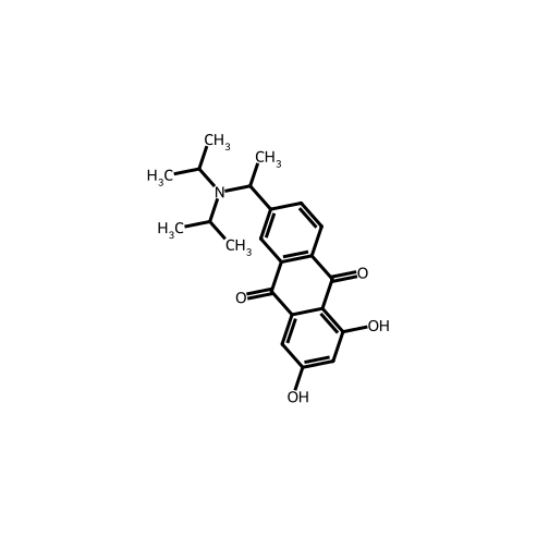 CC(C)N(C(C)C)C(C)c1ccc2c(c1)C(=O)c1cc(O)cc(O)c1C2=O